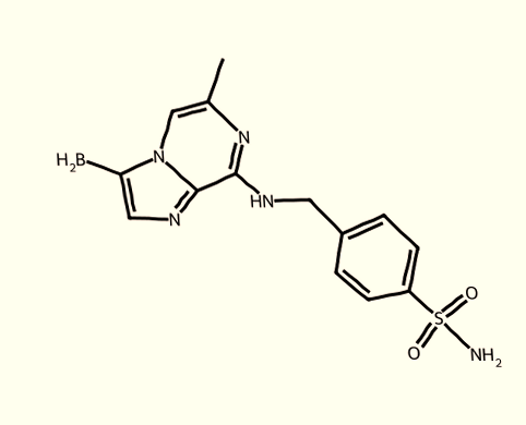 Bc1cnc2c(NCc3ccc(S(N)(=O)=O)cc3)nc(C)cn12